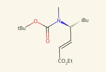 CCOC(=O)/C=C/[C@H]([C@@H](C)CC)N(C)C(=O)OC(C)(C)C